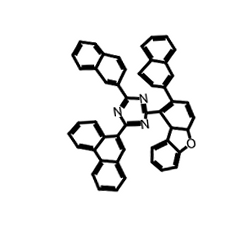 C1=CC2Oc3ccccc3C2C(c2nc(-c3ccc4ccccc4c3)nc(-c3cc4ccccc4c4ccccc34)n2)=C1c1ccc2ccccc2c1